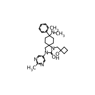 Cc1ncc(N2CC3(CCC(c4ccccc4)(N(C)C)CC3)N(CC3(O)CCC3)C2=O)cn1